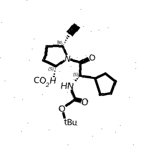 C#C[C@H]1CC[C@@H](C(=O)O)N1C(=O)[C@@H](NC(=O)OC(C)(C)C)C1CCCC1